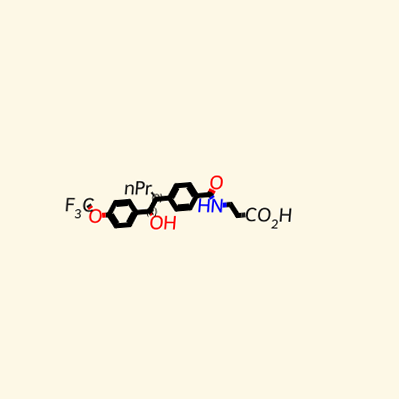 CCC[C@H](c1ccc(C(=O)NCCC(=O)O)cc1)[C@@H](O)c1ccc(OC(F)(F)F)cc1